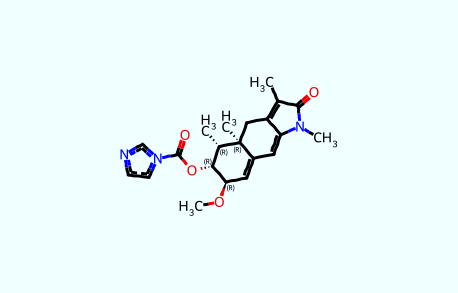 CO[C@@H]1C=C2C=C3C(=C(C)C(=O)N3C)C[C@]2(C)[C@@H](C)[C@H]1OC(=O)n1ccnc1